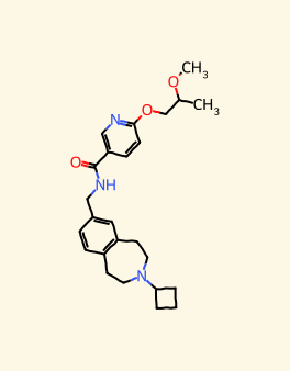 COC(C)COc1ccc(C(=O)NCc2ccc3c(c2)CCN(C2CCC2)CC3)cn1